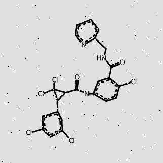 O=C(NCc1ccccn1)c1cc(NC(=O)C2C(c3cc(Cl)cc(Cl)c3)C2(Cl)Cl)ccc1Cl